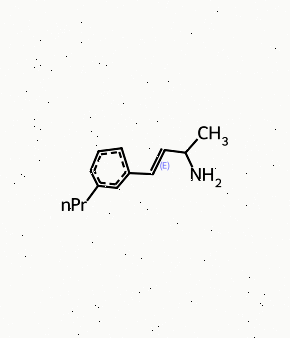 CCCc1cccc(/C=C/C(C)N)c1